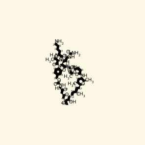 CC(=O)NC(=O)[C@H](CCCNC(N)=O)N(C(=O)[C@@H](NC(=O)[C@@H](N)CCCCN)C(C)C)c1ccc(COC(=O)NNC(=O)C[C@@H]2C[C@@]3(CO3)[C@H](O)[C@@H](/C=C/C(C)=C/C[C@@H]3O[C@H](C)[C@H](NC(=O)/C=C\[C@H](C)OC(C)=O)C[C@@H]3C)O2)cc1